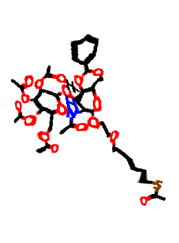 CC(=O)NC1[C@@H](OCCOCCCCCSC(C)=O)OC2COC(c3ccccc3)O[C@@H]2[C@@H]1O[C@@H]1OC(COC(C)=O)[C@H](OC(C)=O)[C@H](OC(C)=O)C1OC(C)=O